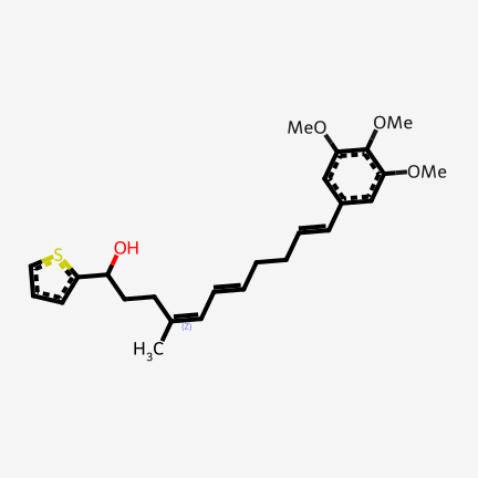 COc1cc(C=CCCC=C/C=C(/C)CCC(O)c2cccs2)cc(OC)c1OC